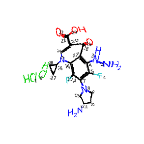 Cl.Cl.NNc1c(F)c(N2CC[C@H](N)C2)c(F)c2c1c(=O)c(C(=O)O)cn2C1CC1